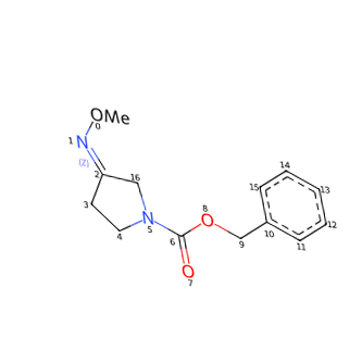 CO/N=C1/CCN(C(=O)OCc2ccccc2)C1